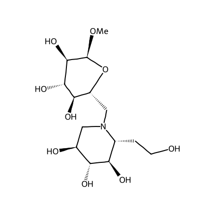 CO[C@H]1O[C@H](CN2C[C@H](O)[C@@H](O)[C@H](O)[C@H]2CCO)[C@@H](O)[C@H](O)[C@H]1O